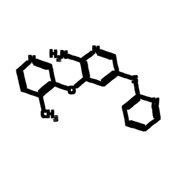 Cc1ccncc1Oc1cc(Sc2ccccn2)cnc1N